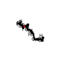 CN(CCN1CCC(OC(=O)Nc2ccccc2-c2ccccc2)CC1)C(=O)CCCCCNCc1ccc(C(=O)N(C)CCCN(C)C(=O)CO[C@H]2Cc3ccccc3C23CCN(CC[C@@]2(c4ccc(F)cc4)CN(C(=O)c4cc(C(F)(F)F)cc(C(F)(F)F)c4)CO2)CC3)cc1